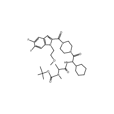 COCCn1c(C(=O)N2CCN(C(=O)C(NC(=O)C(C)N(C)C(=O)OC(C)(C)C)C3CCCCC3)CC2)cc2cc(F)c(F)cc21